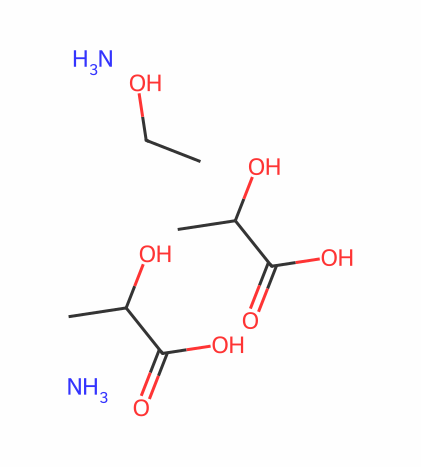 CC(O)C(=O)O.CC(O)C(=O)O.CCO.N.N